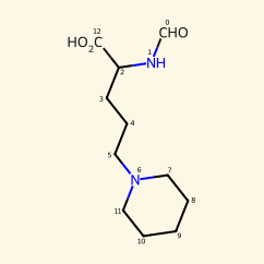 O=CNC(CCCN1CCCCC1)C(=O)O